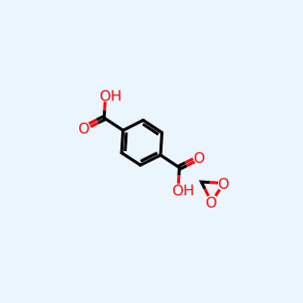 C1OO1.O=C(O)c1ccc(C(=O)O)cc1